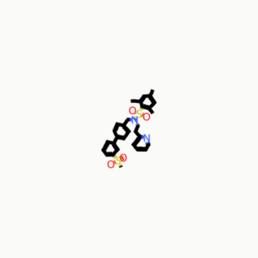 Cc1cc(C)c(S(=O)(=O)N(CCc2ccccn2)Cc2ccc(-c3cccc(S(C)(=O)=O)c3)cc2)c(C)c1